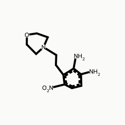 Nc1ccc([N+](=O)[O-])c(CCN2CCOCC2)c1N